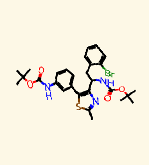 Cc1nc(C(Cc2ccccc2Br)NC(=O)OC(C)(C)C)c(-c2cccc(NC(=O)OC(C)(C)C)c2)s1